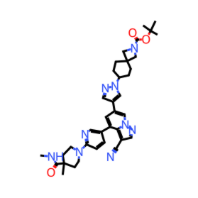 CNC(=O)C1(C)CCN(c2ccc(-c3cc(-c4cnn(C5CCC6(CC5)CN(C(=O)OC(C)(C)C)C6)c4)cn4ncc(C#N)c34)cn2)CC1